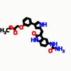 COC(=O)COc1cccc(-c2c[nH]c(/C=C3\C(=O)Nc4ccc(NC(N)=O)cc43)c2)c1